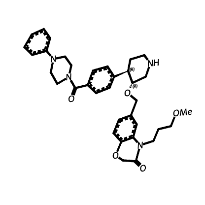 COCCCN1C(=O)COc2ccc(CO[C@H]3CNCC[C@@H]3c3ccc(C(=O)N4CCN(c5ccccc5)CC4)cc3)cc21